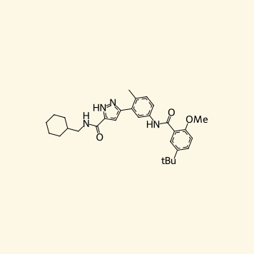 COc1ccc(C(C)(C)C)cc1C(=O)Nc1ccc(C)c(-c2cc(C(=O)NCC3CCCCC3)[nH]n2)c1